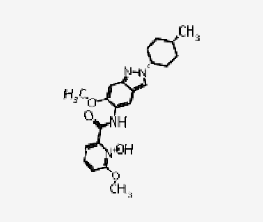 COc1cc2nn([C@H]3CC[C@H](C)CC3)cc2cc1NC(=O)c1cccc(OC)[n+]1O